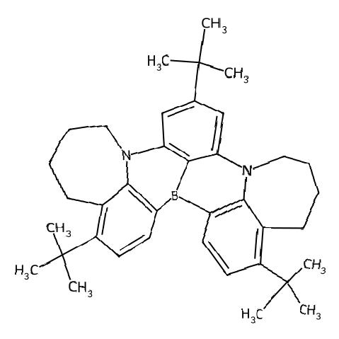 CC(C)(C)c1cc2c3c(c1)N1CCCCc4c(C(C)(C)C)ccc(c41)B3c1ccc(C(C)(C)C)c3c1N2CCCC3